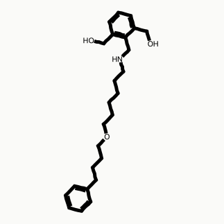 OCc1cccc(CO)c1CNCCCCCCOCCCCc1ccccc1